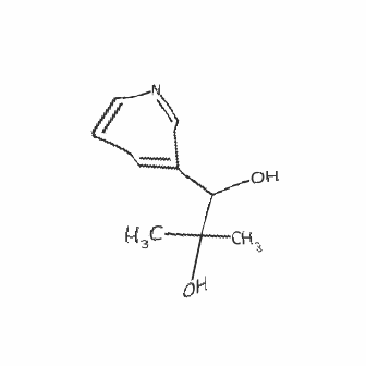 CC(C)(O)C(O)c1cccnc1